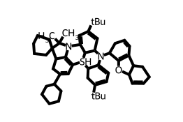 CC(C)(C)C1=CC2C3C(=C1)N1C4=C(C=C(C5CCCCC5)CC4C4(CCCCC4)C1(C)C)[SH]3C1CC(C(C)(C)C)=CC=C1N2C1CC=CC2=C1OC1C=CCCC21